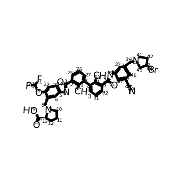 Cc1c(-c2nc3cc(CN4CCC[C@H]4C(=O)O)c(OC(F)F)cc3o2)cccc1-c1cccc(-c2nc3cc(CN4CCC(Br)C4)cc(C#N)c3o2)c1C